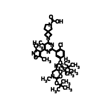 Cc1noc(C)c1-c1nc(-c2cc(OCC(CN(C)C(=O)OC(C)(C)C)O[Si](C)(C)C(C)(C)C)ccc2Cl)nc(N2CC3(CCN(C(=O)O)C3)C2)c1C